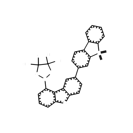 CC1(C)OB(c2cccc3oc4ccc(-c5ccc6c(c5)S(=O)(=O)c5ccccc5-6)cc4c23)OC1(C)C